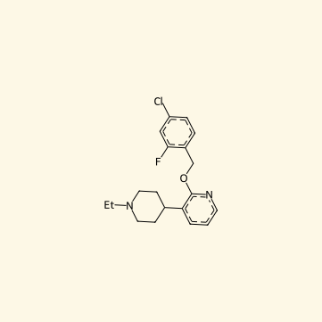 CCN1CCC(c2cccnc2OCc2ccc(Cl)cc2F)CC1